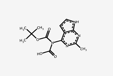 Cc1nc(N(C(=O)O)C(=O)OC(C)(C)C)c2cc[nH]c2n1